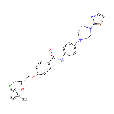 CC(C)(C)[Si](C)(C)OC(CF)COc1ccc(C(=O)Nc2ccc(N3CCN(c4nccs4)CC3)cc2)cc1